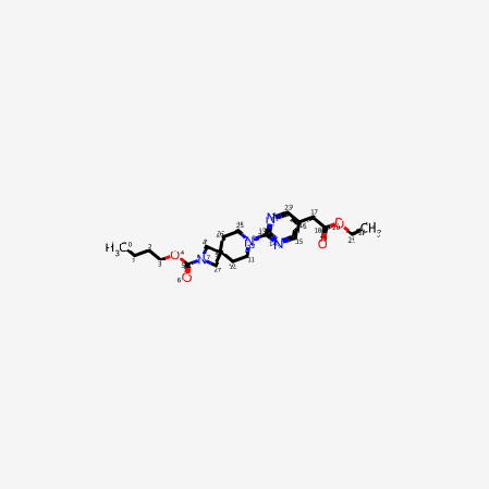 CCCCOC(=O)N1CC2(CCN(c3ncc(CC(=O)OCC)cn3)CC2)C1